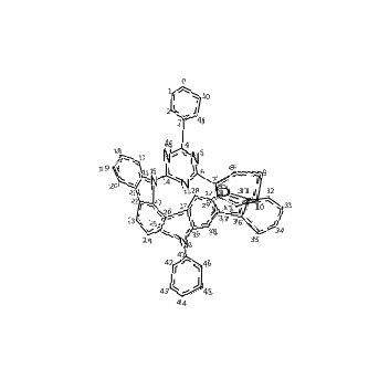 c1ccc(-c2nc(-c3ccccc3)nc(-n3c4ccccc4c4ccc5c(c6cc7oc8ccccc8c7cc6n5-c5ccccc5)c43)n2)cc1